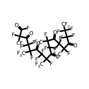 O=C(F)C(F)(C(=O)C(F)(F)C(F)(C(=O)C(F)(F)C(F)(C(=O)C(F)(F)C(F)(C(=O)C(F)(F)C(F)(C(=O)C(F)(F)C(F)(F)C(F)(F)F)C(F)(F)F)C(F)(F)F)C(F)(F)F)C(F)(F)F)C(F)(F)F